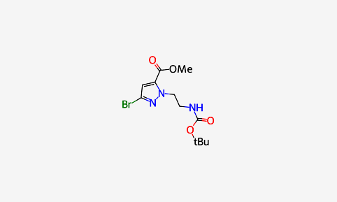 COC(=O)c1cc(Br)nn1CCNC(=O)OC(C)(C)C